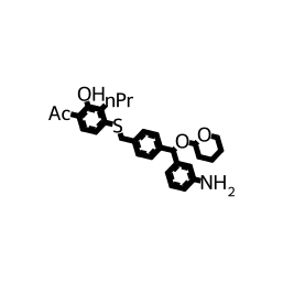 CCCc1c(SCc2ccc(C(OC3CCCCO3)c3cccc(N)c3)cc2)ccc(C(C)=O)c1O